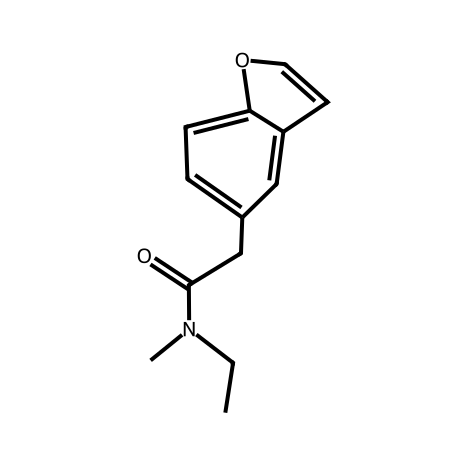 CCN(C)C(=O)Cc1ccc2occc2c1